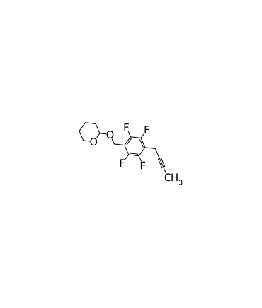 CC#CCc1c(F)c(F)c(COC2CCCCO2)c(F)c1F